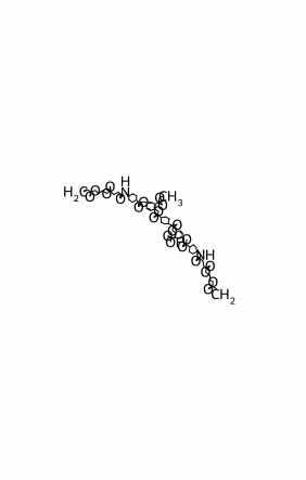 C=CC(=O)OCCOC(=O)CCC(=O)NC1CCC(C(=O)Oc2ccc(OC(=O)C3CCC(C(=O)Oc4ccc(OC(=O)C5CCC(NC(=O)CCC(=O)OCCOC(=O)C=C)CC5)cc4C(=O)OC)CC3)c(C(=O)O)c2)CC1